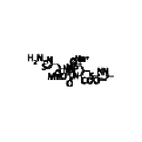 CO[C@@]1(NC(=O)Cc2csc(N)n2)C(=O)N2C(C(=O)[O-])=C(CSc3ccc(C)nn3)C[S+]([O-])[C@H]21.[Na+]